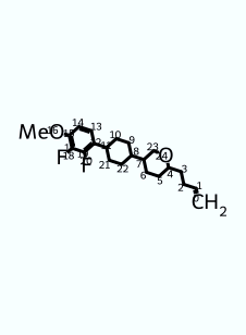 C=CCCC1CCC(C2CCC(c3ccc(OC)c(F)c3F)CC2)CO1